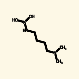 CN(C)CCCCNN(O)O